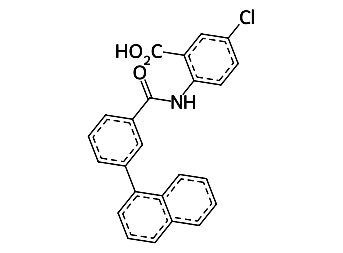 O=C(Nc1ccc(Cl)cc1C(=O)O)c1cccc(-c2cccc3ccccc23)c1